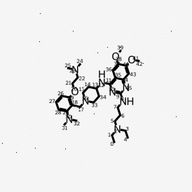 CCN(CC)CCCNc1nc(NC2CCN(Cc3c(OCCN(C)C)cccc3N(C)C)CC2)c2cc(OC)c(OC)cc2n1